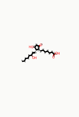 CCCCC[C@H](O)/C=C/[C@H]1[C@H](CCCCCCC(=O)O)C(=O)C[C@@H]1O